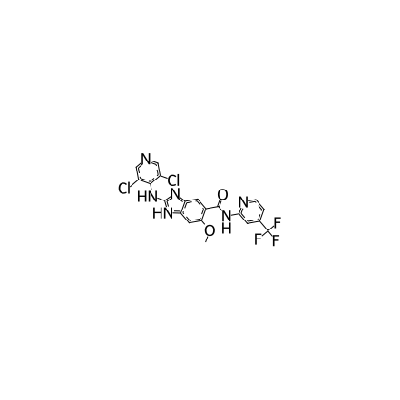 COc1cc2[nH]c(Nc3c(Cl)cncc3Cl)nc2cc1C(=O)Nc1cc(C(F)(F)F)ccn1